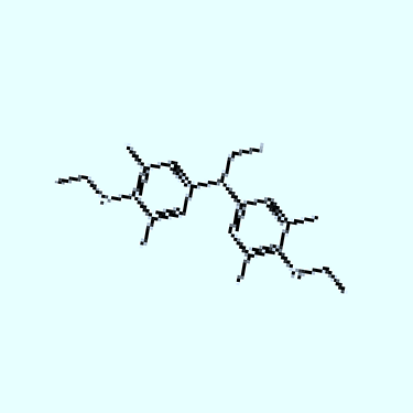 CCOc1c(C)cc(C(CI)c2cc(C)c(OCC)c(C)c2)cc1C